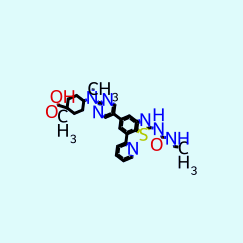 CCNC(=O)Nc1nc2cc(-c3cnc(N(C)C4CCC(C)(C(=O)O)CC4)nc3)cc(-c3ccccn3)c2s1